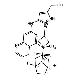 CN(c1nc(Nc2cc(CO)[nH]n2)cc2ncccc12)[C@@H]1C[C@H]2CC[C@@H](C1)N2S(=O)(=O)N1CC(C#N)C1